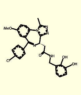 COc1ccc2c(c1)C(c1ccc(Cl)cc1)=N[C@@H](CC(=O)NCc1cccc(O)c1O)c1nnc(C)n1-2